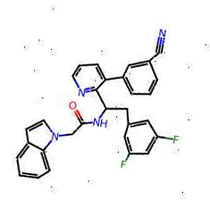 N#Cc1cccc(-c2cccnc2C(Cc2cc(F)cc(F)c2)NC(=O)Cn2ccc3ccccc32)c1